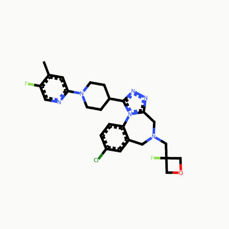 Cc1cc(N2CCC(c3nnc4n3-c3ccc(Cl)cc3CN(CC3(F)COC3)C4)CC2)ncc1F